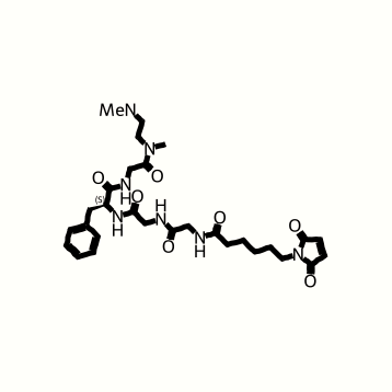 CNCCN(C)C(=O)CNC(=O)[C@H](Cc1ccccc1)NC(=O)CNC(=O)CNC(=O)CCCCCN1C(=O)C=CC1=O